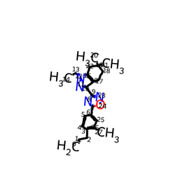 C=CCc1ccc(-c2nc(-c3nn(CC)c4c3CCC(C)(C)C4)no2)cc1C